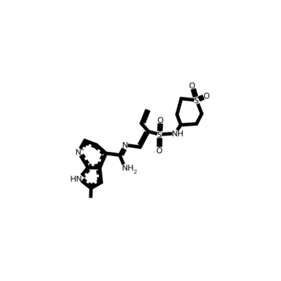 C=C/C(=C\N=C(/N)c1ccnc2[nH]c(C)cc12)S(=O)(=O)NC1CCS(=O)(=O)CC1